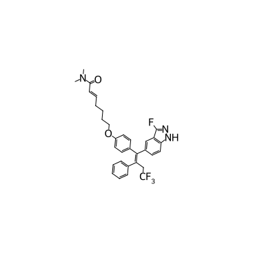 CN(C)C(=O)/C=C/CCCCOc1ccc(/C(=C(/CC(F)(F)F)c2ccccc2)c2ccc3[nH]nc(F)c3c2)cc1